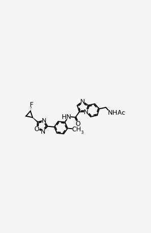 CC(=O)NCc1ccn2c(C(=O)Nc3cc(-c4noc([C@H]5C[C@@H]5F)n4)ccc3C)cnc2c1